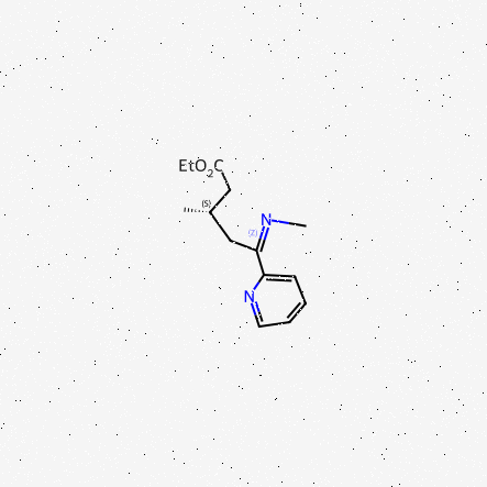 CCOC(=O)C[C@@H](C)C/C(=N/C)c1ccccn1